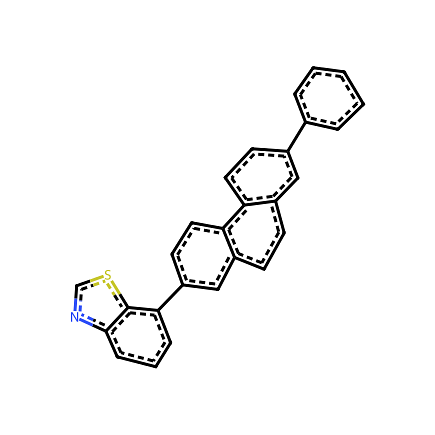 c1ccc(-c2ccc3c(ccc4cc(-c5cccc6ncsc56)ccc43)c2)cc1